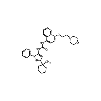 CC1(c2cc(NC(=O)Nc3ccc(OCCN4CCOCC4)c4ccccc34)n(-c3ccccc3)n2)CCCCC1